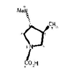 CN[C@H]1CN(C(=O)O)C[C@@H]1C